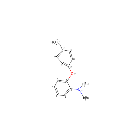 CCCCN(CCCC)c1ccccc1Oc1ccc(C(=O)O)cc1